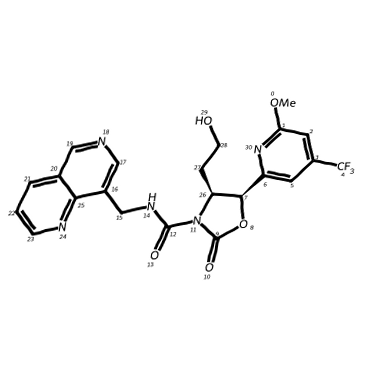 COc1cc(C(F)(F)F)cc([C@H]2OC(=O)N(C(=O)NCc3cncc4cccnc34)[C@H]2CCO)n1